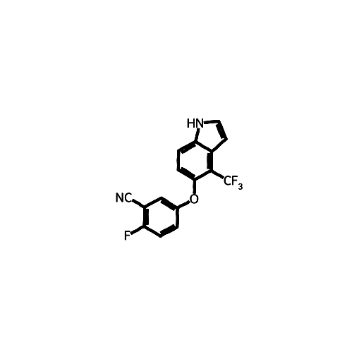 N#Cc1cc(Oc2ccc3[nH]ccc3c2C(F)(F)F)ccc1F